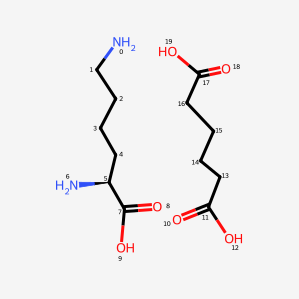 NCCCC[C@H](N)C(=O)O.O=C(O)CCCCC(=O)O